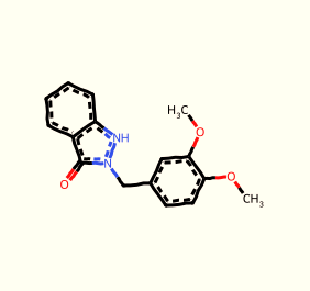 COc1ccc(Cn2[nH]c3ccccc3c2=O)cc1OC